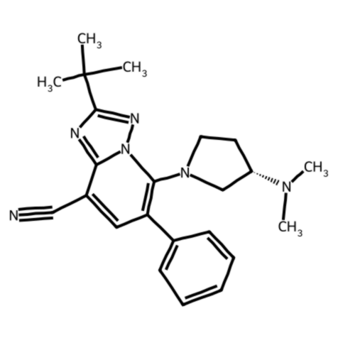 CN(C)[C@H]1CCN(c2c(-c3ccccc3)cc(C#N)c3nc(C(C)(C)C)nn23)C1